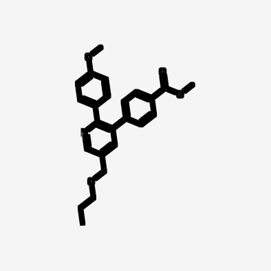 CCCOCc1cnc(-c2ccc(OC)cc2)c(-c2ccc(C(=O)OC)cc2)c1